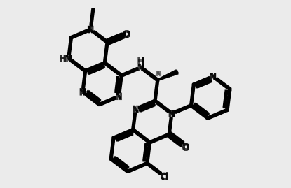 C[C@H](Nc1ncnc2c1C(=O)N(C)CN2)c1nc2cccc(Cl)c2c(=O)n1-c1cccnc1